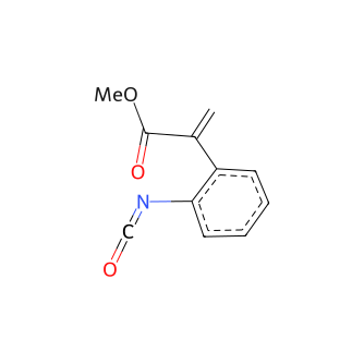 C=C(C(=O)OC)c1ccccc1N=C=O